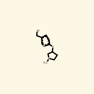 CC(C)Cc1ccc(OC2CCN(C)C2)nc1